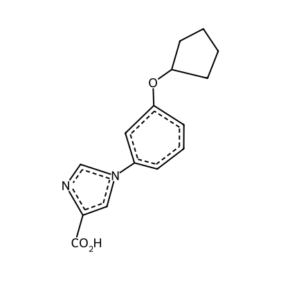 O=C(O)c1cn(-c2cccc(OC3CCCC3)c2)cn1